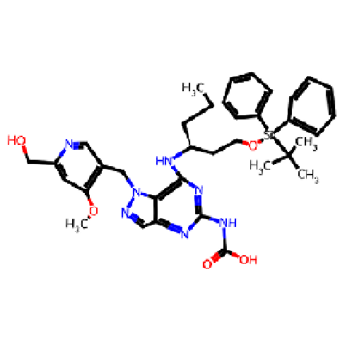 CCC[C@@H](CCO[Si](c1ccccc1)(c1ccccc1)C(C)(C)C)Nc1nc(NC(=O)O)nc2cnn(Cc3cnc(CO)cc3OC)c12